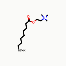 CCCCCCCCCCCCCCCCCC(=O)OCC[N+](C)(C)C